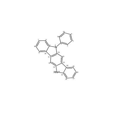 c1ccc(-n2c3ccccc3c3cc4[nH]c5ccccc5c4cc32)cc1